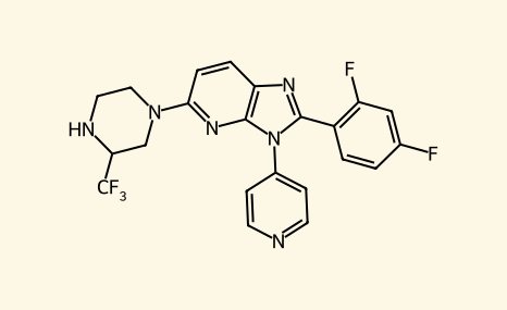 Fc1ccc(-c2nc3ccc(N4CCNC(C(F)(F)F)C4)nc3n2-c2ccncc2)c(F)c1